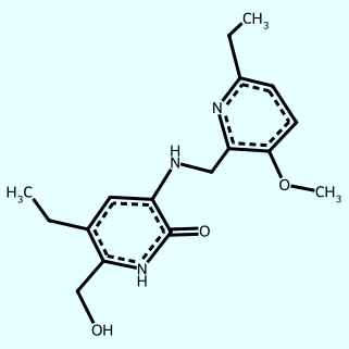 CCc1ccc(OC)c(CNc2cc(CC)c(CO)[nH]c2=O)n1